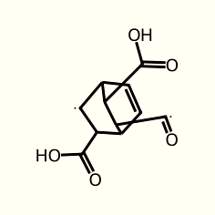 O=[C]C1C2C=CC([CH]C2C(=O)O)C1C(=O)O